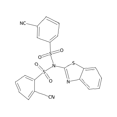 N#Cc1cccc(S(=O)(=O)N(c2nc3ccccc3s2)S(=O)(=O)c2ccccc2C#N)c1